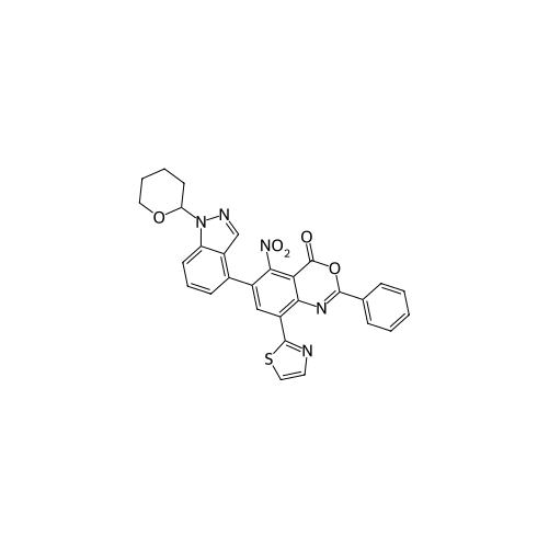 O=c1oc(-c2ccccc2)nc2c(-c3nccs3)cc(-c3cccc4c3cnn4C3CCCCO3)c([N+](=O)[O-])c12